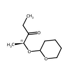 CCC(=O)[C@H](C)OC1CCCCO1